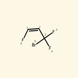 F/C=C\C(F)(F)Br